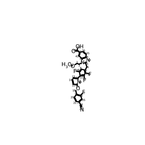 COCCn1c(Cc2cc(F)c(-c3cccc(OCc4ccc(C#N)cc4F)n3)c(F)c2F)nc2ccc(C(=O)O)cc21